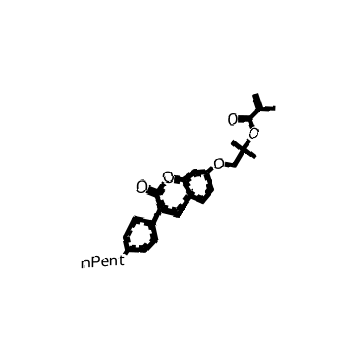 C=C(C)C(=O)OC(C)(C)COc1ccc2cc(-c3ccc(CCCCC)cc3)c(=O)oc2c1